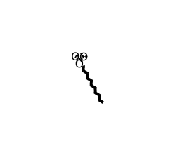 CCCCCCCCCCCO[N+](=O)[O-]